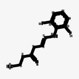 CCOC(=O)CC=NNc1c(F)cccc1F